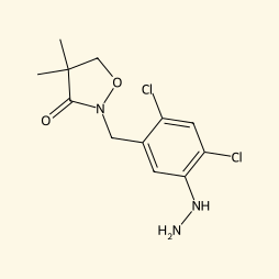 CC1(C)CON(Cc2cc(NN)c(Cl)cc2Cl)C1=O